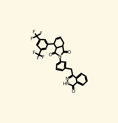 O=C1C2CC=CC(c3cc(C(F)(F)F)cc(C(F)(F)F)c3)C2C(=O)N1c1cccc(Cc2n[nH]c(=O)c3ccccc23)c1